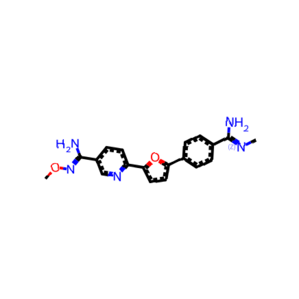 C/N=C(\N)c1ccc(-c2ccc(-c3ccc(C(N)=NOC)cn3)o2)cc1